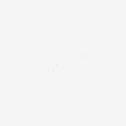 CNC(=O)c1ccc(C)c(-n2c(C)cc(O)cc2=O)c1